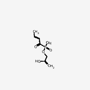 C=C(O)COP(=O)(O)C(=O)C=CC